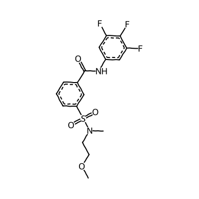 COCCN(C)S(=O)(=O)c1cccc(C(=O)Nc2cc(F)c(F)c(F)c2)c1